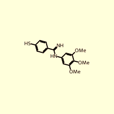 COc1cc(NC(=N)c2ccc(S)cc2)cc(OC)c1OC